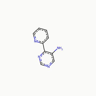 Nc1cncnc1-c1ccccn1